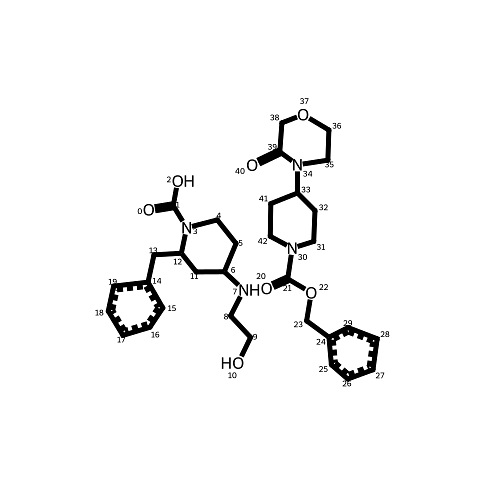 O=C(O)N1CCC(NCCO)CC1Cc1ccccc1.O=C(OCc1ccccc1)N1CCC(N2CCOCC2=O)CC1